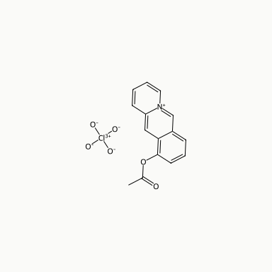 CC(=O)Oc1cccc2c[n+]3ccccc3cc12.[O-][Cl+3]([O-])([O-])[O-]